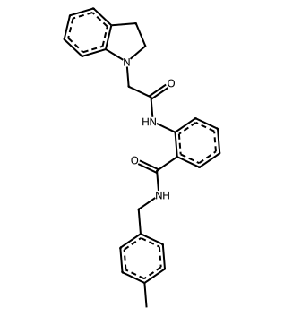 Cc1ccc(CNC(=O)c2ccccc2NC(=O)CN2CCc3ccccc32)cc1